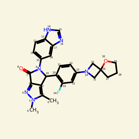 Cc1c2c(nn1C)C(=O)N(c1ccc3[nH]cnc3c1)C2c1ccc(N2CC3(CCCO3)C2)cc1F